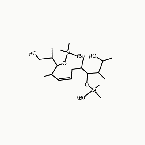 CC(O)C(C)C(O[Si](C)(C)C(C)(C)C)C(C)C/C=C\C(C)C(O[Si](C)(C)C(C)(C)C)C(C)CO